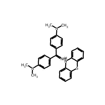 CN(C)c1ccc(C(=N)c2ccc(N(C)C)cc2)cc1.c1ccc2c(c1)Nc1ccccc1S2